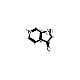 O=C1CNc2cnccc21